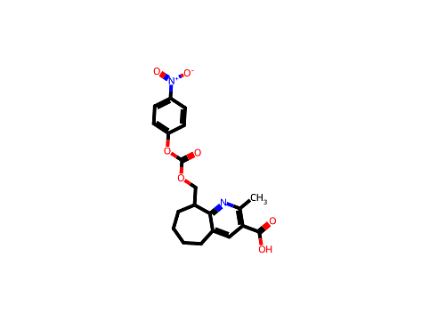 Cc1nc2c(cc1C(=O)O)CCCCC2COC(=O)Oc1ccc([N+](=O)[O-])cc1